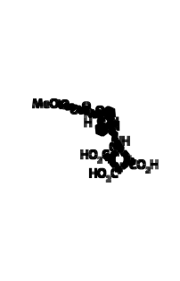 COCCOCCOCCC(=O)NCCC(=O)N1Cc2ccccc2-c2c(nnn2CCCNC(=O)CN2CCN(CC(=O)O)CCN(CC(=O)O)CCN(CC(=O)O)CC2)-c2ccccc21